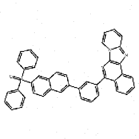 O=P(c1ccccc1)(c1ccccc1)c1ccc2cc(-c3cccc(-c4nc5c(nc6ccccn65)c5ccccc45)c3)ccc2c1